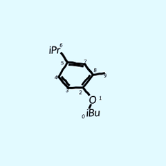 CCC(C)Oc1ccc(C(C)C)cc1C